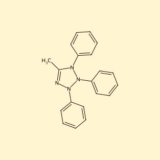 CC1=NN(c2ccccc2)N(c2ccccc2)N1c1ccccc1